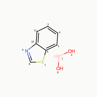 OBO.c1ccc2scnc2c1